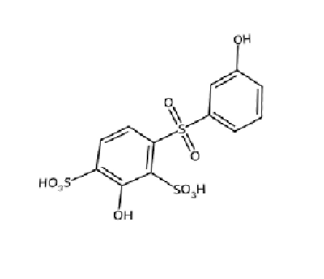 O=S(=O)(O)c1ccc(S(=O)(=O)c2cccc(O)c2)c(S(=O)(=O)O)c1O